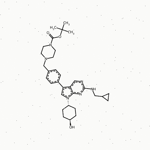 CC(C)(C)OC(=O)N1CCN(Cc2ccc(-c3cn([C@H]4CC[C@H](O)CC4)c4nc(NCC5CC5)ncc34)cc2)CC1